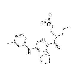 CCCN(CC[SH](=O)=O)C(=O)c1ncc(Nc2cccc(C)c2)c2c1C1CCC2C1